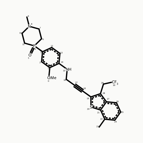 COc1cc(P2(=O)CCN(C)CC2)ccc1NCC#Cc1sc2c(C)cccc2c1CC(F)(F)F